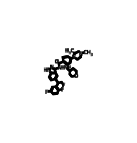 CC1CN(C)CCN1c1ccc(C(=O)Nc2n[nH]c3ccc(C(CF)c4cc(F)ccc4F)cc23)c(NC2CCOCC2)c1